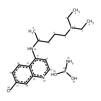 CCN(CC)CCCC(C)Nc1ccnc2cc(Cl)ccc12.NP(O)O